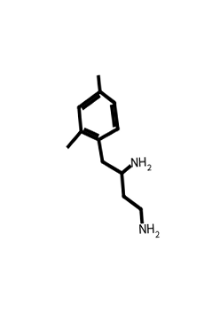 Cc1ccc(CC(N)CCN)c(C)c1